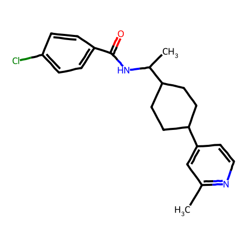 Cc1cc(C2CCC(C(C)NC(=O)c3ccc(Cl)cc3)CC2)ccn1